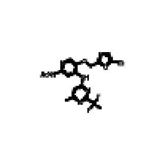 CCc1cnc(COc2cnc(NC(C)=O)cc2Nc2cc(C)nc(C(C)(F)F)n2)o1